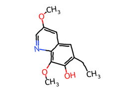 CCc1cc2cc(OC)cnc2c(OC)c1O